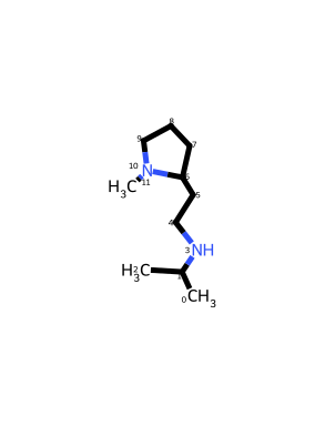 CC(C)NCCC1CCCN1C